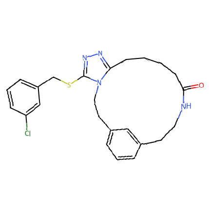 O=C1CCCCc2nnc(SCc3cccc(Cl)c3)n2CCc2cccc(c2)CCN1